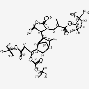 CC(CC1C(=O)OC(=O)C1C1C(C)C2CC(C(CC(=O)OC(C)(C)C)OC(=O)OC(C)(C)C)C1C2)C(=O)OC(C(F)(F)F)C(F)(F)F